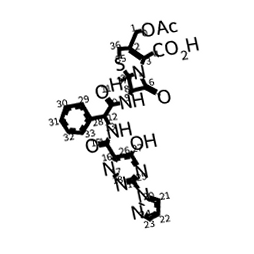 CC(=O)OCC1=C(C(=O)O)N2C(=O)C(NC(=O)C(NC(=O)c3nnc(-n4cccn4)nc3O)c3ccccc3)[C@@H]2SC1